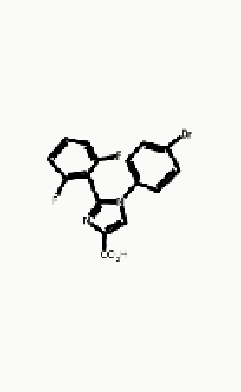 O=C(O)c1cn(-c2ccc(Br)cc2)c(-c2c(F)cccc2F)n1